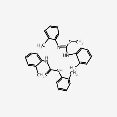 CS/C(=N\c1ccccc1C)Nc1ccccc1C.Cc1ccccc1NC(=S)Nc1ccccc1C